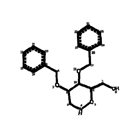 OCC1ONCC(OCc2ccccc2)C1OCc1ccccc1